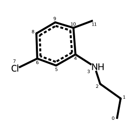 CCCNc1cc(Cl)ccc1C